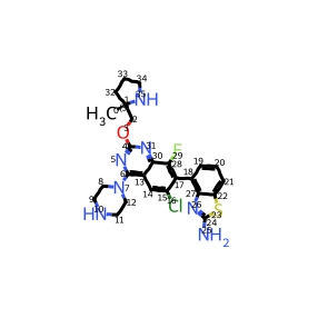 C[C@@]1(COc2nc(N3CCNCC3)c3cc(Cl)c(-c4cccc5sc(N)nc45)c(F)c3n2)CCCN1